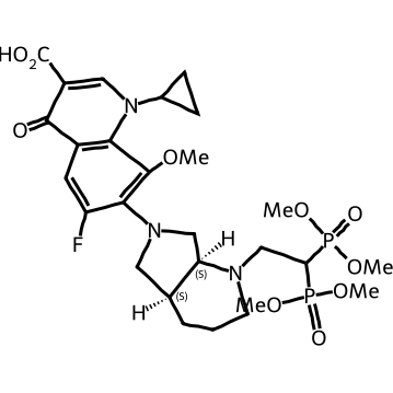 COc1c(N2C[C@@H]3CCCN(CC(P(=O)(OC)OC)P(=O)(OC)OC)[C@@H]3C2)c(F)cc2c(=O)c(C(=O)O)cn(C3CC3)c12